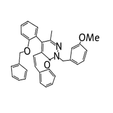 COc1cccc(Cn2nc(C)c(-c3ccccc3OCc3ccccc3)c(C=Cc3ccccc3)c2=O)c1